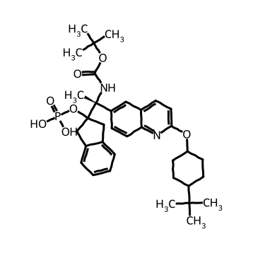 CC(C)(C)OC(=O)N[C@](C)(c1ccc2nc(OC3CCC(C(C)(C)C)CC3)ccc2c1)C1(OP(=O)(O)O)Cc2ccccc2C1